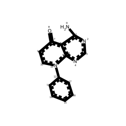 Nc1ncnc2c1c(=O)ccn2-c1ccccc1